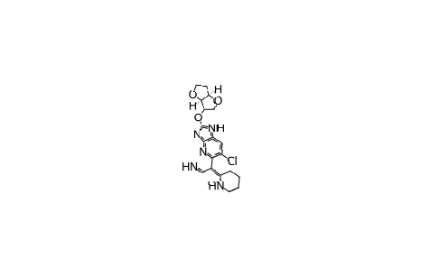 N=C/C(=C1/CCCCN1)c1nc2nc(OC3CO[C@@H]4CCO[C@H]34)[nH]c2cc1Cl